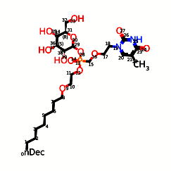 CCCCCCCCCCCCCCCCCCOCCOP(=O)(COCCn1cc(C)c(=O)[nH]c1=O)OC1O[C@H](CO)[C@H](O)[C@H](O)[C@H]1O